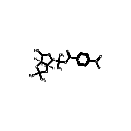 CC1(C)O[C@H]2[C@@H](O1)C(O)O[C@@H]2C(C)(C)OC(=O)c1ccc([N+](=O)[O-])cc1